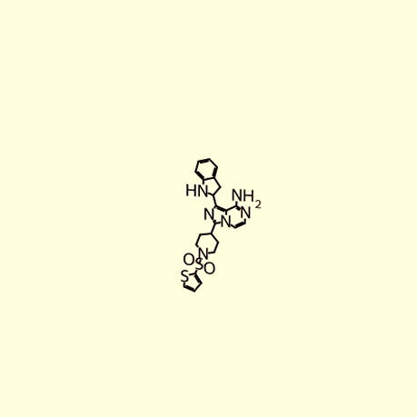 Nc1nccn2c(C3CCN(S(=O)(=O)c4cccs4)CC3)nc(C3Cc4ccccc4N3)c12